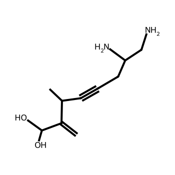 C=C(C(O)O)C(C)C#CCC(N)CN